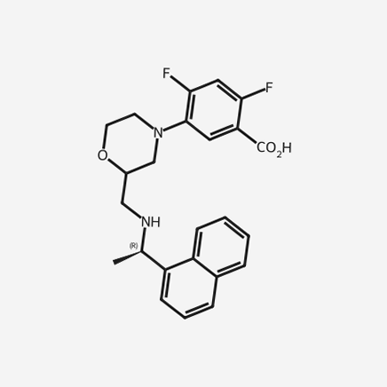 C[C@@H](NCC1CN(c2cc(C(=O)O)c(F)cc2F)CCO1)c1cccc2ccccc12